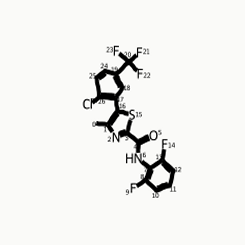 Cc1nc(C(=O)Nc2c(F)cccc2F)sc1-c1cc(C(F)(F)F)ccc1Cl